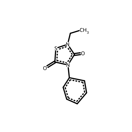 CCn1sc(=O)n(-c2ccccc2)c1=O